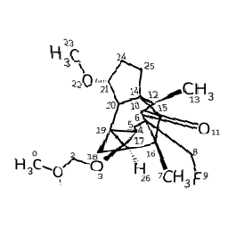 COCO[C@@H]1C[C@@](C)(CF)C(=O)[C@H](C)C23CC[C@H]4C[C@]41C2[C@H](OC)CC3